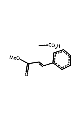 CC(=O)O.COC(=O)C=Cc1ccccc1